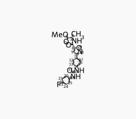 COC(=O)C(C)NC(=O)c1cc(-c2ccc(NC(=O)Nc3ccc(F)cc3)cc2)no1